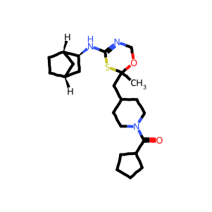 CC1(CC2CCN(C(=O)C3CCCC3)CC2)OCN=C(N[C@H]2C[C@@H]3CC[C@H]2C3)S1